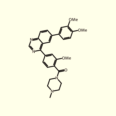 COc1ccc(-c2ccc3ncnc(-c4ccc(C(=O)N5CCN(C)CC5)c(OC)c4)c3c2)cc1OC